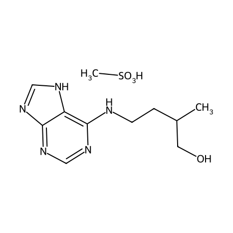 CC(CO)CCNc1ncnc2nc[nH]c12.CS(=O)(=O)O